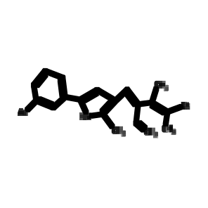 C=CC(=C\c1cc(-c2cccc(C(C)=O)c2)[nH]c1C)/C(C)=C(\C)CC